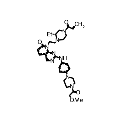 C=CC(=O)N1CCN(CCn2c(=O)ccc3cnc(Nc4ccc(N5CCN(C(=O)COC)CC5)cc4)nc32)[C@@H](CC)C1